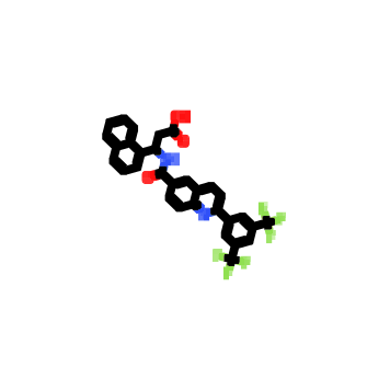 O=C(O)CC(NC(=O)c1ccc2nc(-c3cc(C(F)(F)F)cc(C(F)(F)F)c3)ccc2c1)c1cccc2ccccc12